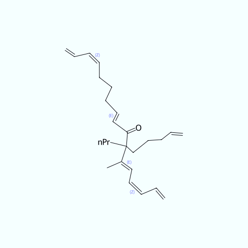 C=C/C=C\C=C(/C)C(CCC)(CCCC=C)C(=O)/C=C/CCC/C=C\C=C